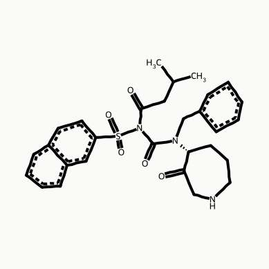 CC(C)CC(=O)N(C(=O)N(Cc1ccccc1)[C@@H]1CCCNCC1=O)S(=O)(=O)c1ccc2ccccc2c1